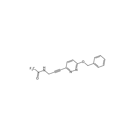 O=C(NCC#Cc1ccc(OCc2ccccc2)nn1)C(F)(F)F